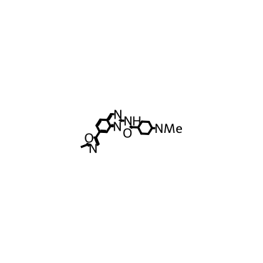 CNC1CCC(C(=O)Nc2ncc3ccc(-c4cnc(C)o4)cc3n2)CC1